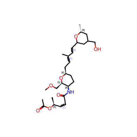 COC[C@H]1O[C@@H](C/C=C(C)/C=C/C2CC(CO)C[C@@H](C)O2)CC[C@H]1NC(=O)/C=C\[C@H](C)OC(C)=O